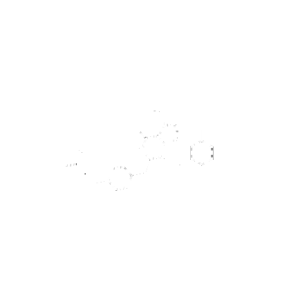 CNC(=O)C(C)(C)Oc1ccc(Cc2nc3c(c(C(C)C)nn3-c3c(Cl)cc(Cl)cc3Cl)c(=O)[nH]2)cc1